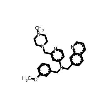 COc1cccc(CN(Cc2ccc3cccnc3c2)c2ccnc(CN3CCN(C)CC3)c2)c1